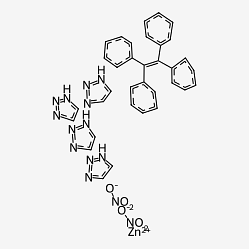 O=[N+]([O-])[O-].O=[N+]([O-])[O-].[Zn+2].c1c[nH]nn1.c1c[nH]nn1.c1c[nH]nn1.c1c[nH]nn1.c1ccc(C(=C(c2ccccc2)c2ccccc2)c2ccccc2)cc1